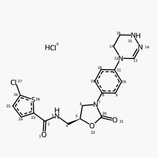 Cl.O=C(NC[C@H]1CN(c2ccc(N3C=NNCC3)cc2)C(=O)O1)c1ccc(Cl)s1